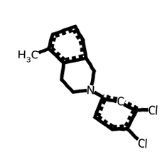 Cc1cccc2c1CCN(c1ccc(Cl)c(Cl)c1)C2